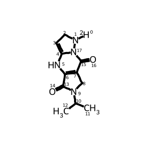 [2H]N1CC=C2NC3=C(CN(C(C)C)C3=O)C(=O)N21